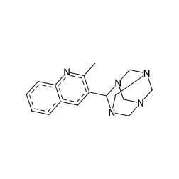 Cc1nc2ccccc2cc1C1N2CN3CN(C2)CN1C3